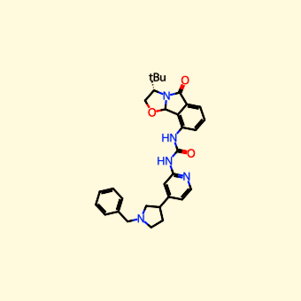 CC(C)(C)[C@H]1COC2c3c(NC(=O)Nc4cc(C5CCN(Cc6ccccc6)C5)ccn4)cccc3C(=O)N21